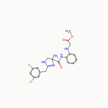 COC(=O)CNc1ccccc1NC(=O)C1(C)CNC(Cc2cc(F)cc(F)c2)=N1